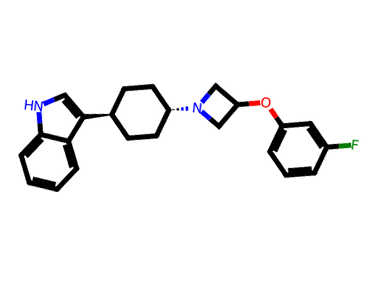 Fc1cccc(OC2CN([C@H]3CC[C@H](c4c[nH]c5ccccc54)CC3)C2)c1